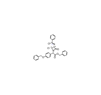 O=C(OCc1ccccc1)C(c1ccc(OCc2ccccc2)cc1)N1C(=O)[C@@H](/N=C(\Cl)c2ccccc2)[C@H]1Cl